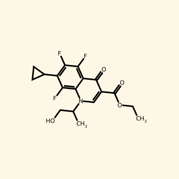 CCOC(=O)c1cn(C(C)CO)c2c(F)c(C3CC3)c(F)c(F)c2c1=O